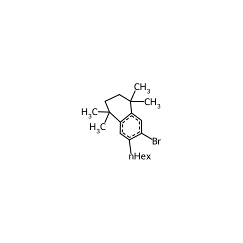 CCCCCCc1cc2c(cc1Br)C(C)(C)CCC2(C)C